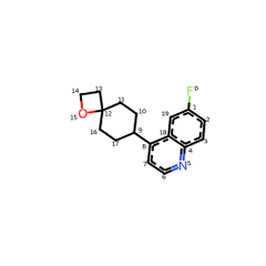 Fc1ccc2nccc(C3CCC4(CCO4)CC3)c2c1